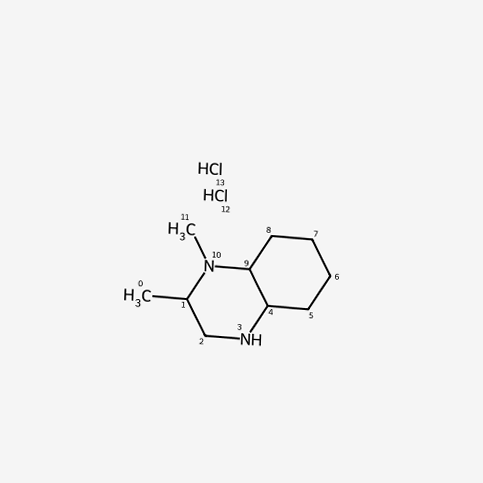 CC1CNC2CCCCC2N1C.Cl.Cl